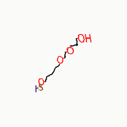 OCCCOCCOCCCCCOSI